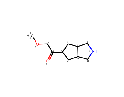 COCC(=O)C1CC2CNCC2C1